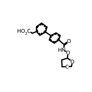 O=C(O)Cc1cccc(-c2ccc(C(=O)NOC3CCCCO3)cc2)c1